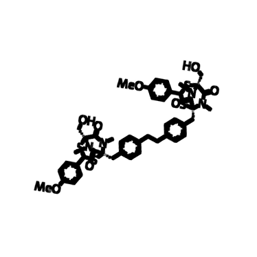 COc1ccc(C2S[C@@]3(CO)C(=O)N(C)[C@@](Cc4ccc(CCc5ccc(C[C@@]67SC(c8ccc(OC)cc8)S[C@@](CO)(C(=O)N6C)N(C)C7=O)cc5)cc4)(S2)C(=O)N3C)cc1